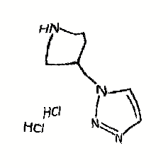 Cl.Cl.c1cn(C2CNC2)nn1